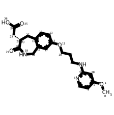 COc1ccnc(NCCCOc2ccc3c(c2)CNC(=O)[C@H](CC(=O)O)C3)c1